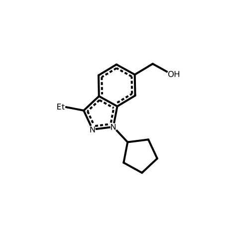 CCc1nn(C2CCCC2)c2cc(CO)ccc12